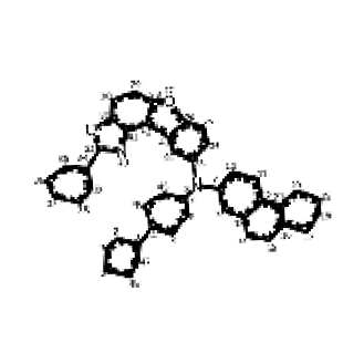 c1ccc(-c2ccc(N(c3ccc4c(ccc5ccccc54)c3)c3ccc4oc5ccc6oc(-c7ccccc7)nc6c5c4c3)cc2)cc1